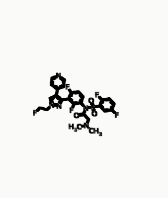 CN(C)CC(=O)N(c1ccc(F)c(-c2nn(CCF)cc2-c2ccncc2)c1F)S(=O)(=O)c1cc(F)ccc1F